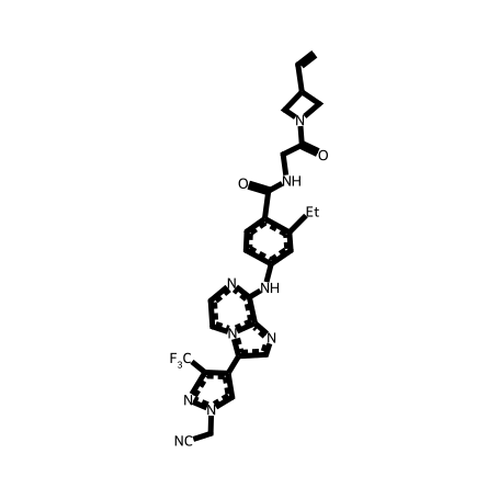 C=CC1CN(C(=O)CNC(=O)c2ccc(Nc3nccn4c(-c5cn(CC#N)nc5C(F)(F)F)cnc34)cc2CC)C1